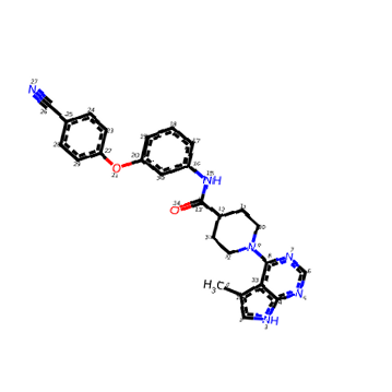 Cc1c[nH]c2ncnc(N3CCC(C(=O)Nc4cccc(Oc5ccc(C#N)cc5)c4)CC3)c12